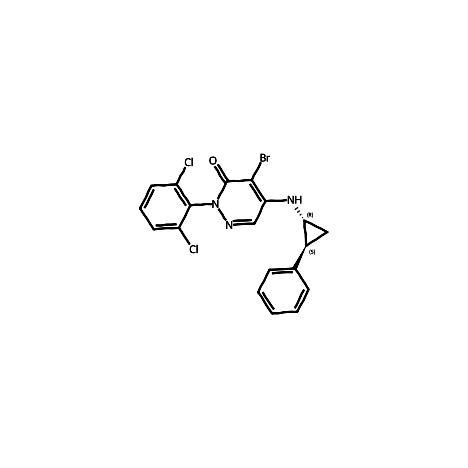 O=c1c(Br)c(N[C@@H]2C[C@H]2c2ccccc2)cnn1-c1c(Cl)cccc1Cl